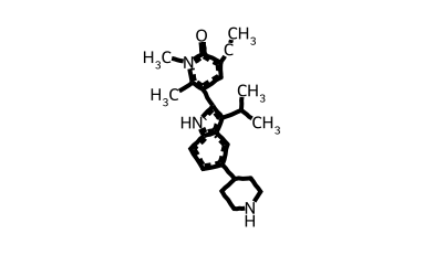 CCc1cc(-c2[nH]c3ccc(C4CCNCC4)cc3c2C(C)C)c(C)n(C)c1=O